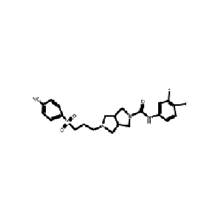 N#Cc1ccc(S(=O)(=O)CCCN2CC3CN(C(=O)Nc4ccc(F)c(F)c4)CC3C2)cc1